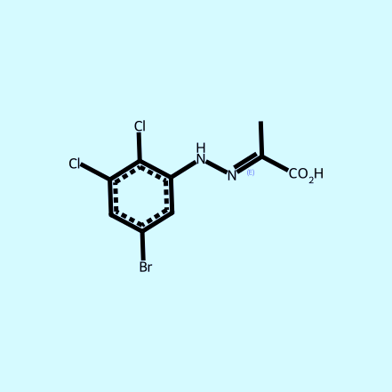 C/C(=N\Nc1cc(Br)cc(Cl)c1Cl)C(=O)O